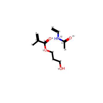 C=C(C)C(=O)OCCCO.C=CNC(C)=O